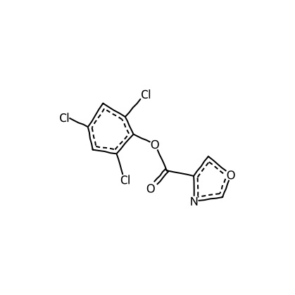 O=C(Oc1c(Cl)cc(Cl)cc1Cl)c1cocn1